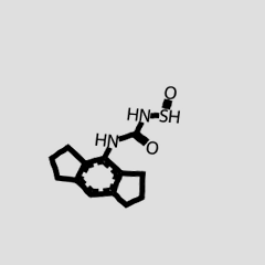 O=[SH]NC(=O)Nc1c2c(cc3c1CCC3)CCC2